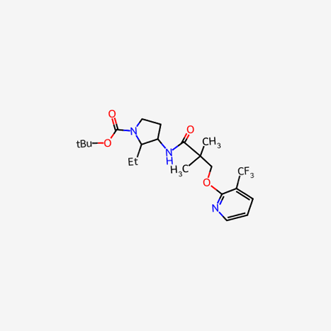 CCC1C(NC(=O)C(C)(C)COc2ncccc2C(F)(F)F)CCN1C(=O)OC(C)(C)C